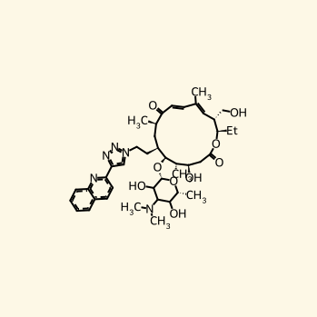 CC[C@H]1OC(=O)C[C@@H](O)[C@H](C)[C@@H](O[C@@H]2O[C@H](C)C(O)C(N(C)C)C2O)[C@@H](CCn2cc(-c3ccc4ccccc4n3)nn2)C[C@@H](C)C(=O)/C=C/C(C)=C/[C@@H]1CO